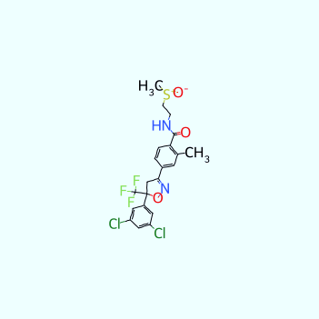 Cc1cc(C2=NOC(c3cc(Cl)cc(Cl)c3)(C(F)(F)F)C2)ccc1C(=O)NCC[S+](C)[O-]